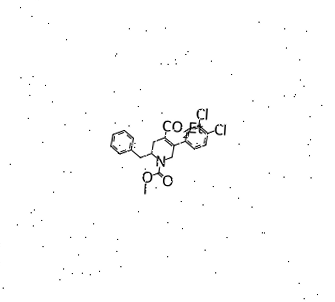 CCOC(=O)C1=C(c2ccc(Cl)c(Cl)c2)CN(C(=O)OI)C(Cc2ccccc2)C1